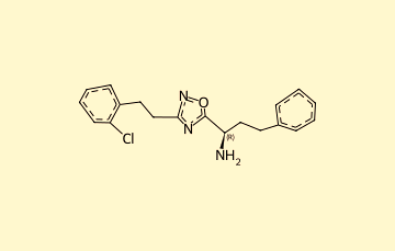 N[C@H](CCc1ccccc1)c1nc(CCc2ccccc2Cl)no1